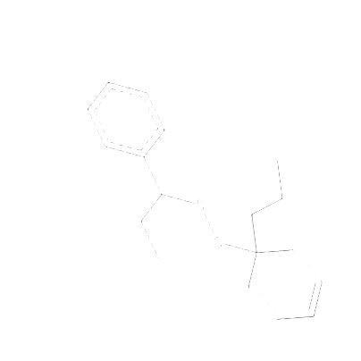 CCCC1(SSC(CC)c2ccccc2)C=CC=CC1